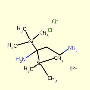 C[Si](C)(C)C(N)(CCN)[Si](C)(C)C.[Cl-].[Cl-].[Ti+2]